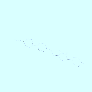 CCCCC1CCC(C2CCC(CCC3CCC(C4CCC(CC)CC4)C(F)C3F)CC2)CC1F